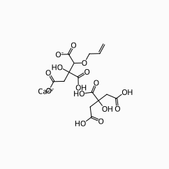 C=CCOC(C(=O)[O-])C(O)(CC(=O)[O-])C(=O)O.O=C(O)CC(O)(CC(=O)O)C(=O)O.[Ca+2]